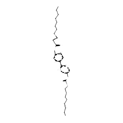 CCCCCCCCCCC(=O)Oc1ccc(-c2ncc(OC(=O)CCCCCCCCC)cn2)cc1